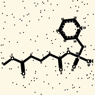 COC(=O)CCCC(=O)OP(=O)(O)Cc1ccccn1